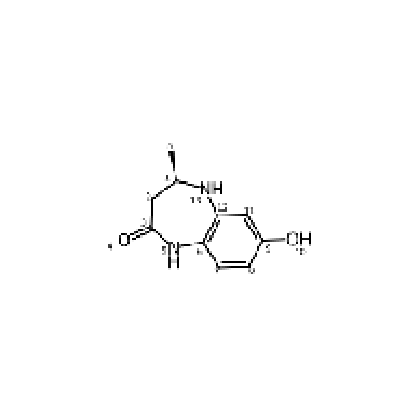 C[C@@H]1CC(=O)Nc2ccc(O)cc2N1